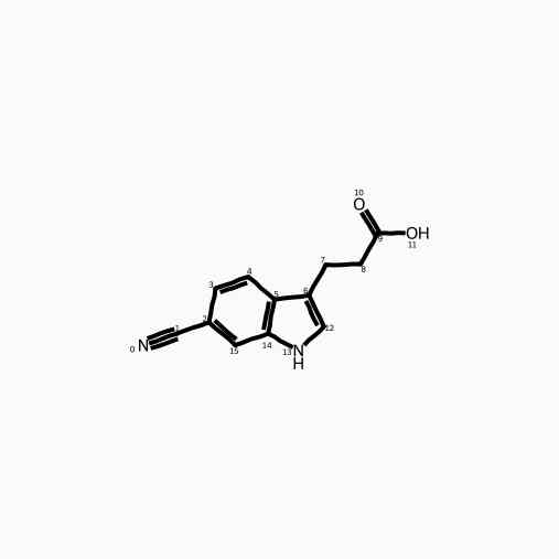 N#Cc1ccc2c(CCC(=O)O)c[nH]c2c1